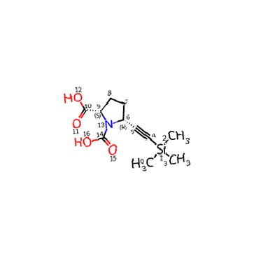 C[Si](C)(C)C#C[C@H]1CC[C@@H](C(=O)O)N1C(=O)O